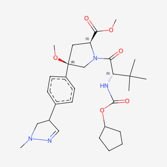 COC(=O)[C@@H]1C[C@@](OC)(c2ccc(C3C=NN(C)C3)cc2)CN1C(=O)[C@@H](NC(=O)OC1CCCC1)C(C)(C)C